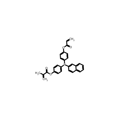 C=CC(=O)Oc1ccc(N(c2ccc(OC(=O)C(=C)C)cc2)c2ccc3ccccc3c2)cc1